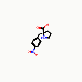 O=C(O)[C@]1(Cc2ccc([N+](=O)[O-])cc2)CCCN1